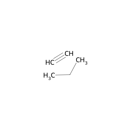 C#C.CCC